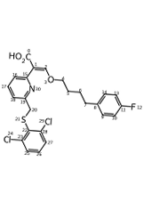 O=C(O)C(=COCCCCc1ccc(F)cc1)c1cccc(CSc2c(Cl)cccc2Cl)n1